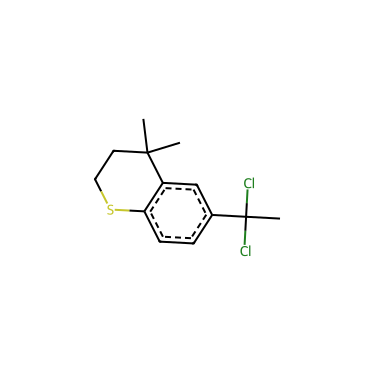 CC(Cl)(Cl)c1ccc2c(c1)C(C)(C)CCS2